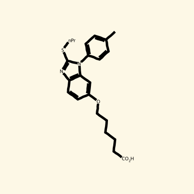 CCCSc1nc2ccc(OCCCCCC(=O)O)cc2n1-c1ccc(C)cc1